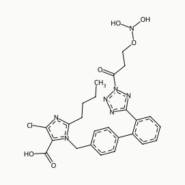 CCCCc1nc(Cl)c(C(=O)O)n1Cc1ccc(-c2ccccc2-c2nnn(C(=O)CCON(O)O)n2)cc1